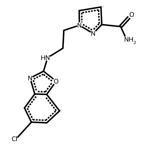 NC(=O)c1[c]cn(CCNc2nc3cc(Cl)ccc3o2)n1